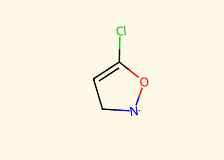 ClC1=CC[N]O1